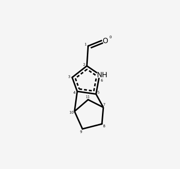 O=Cc1cc2c([nH]1)C1CCC2C1